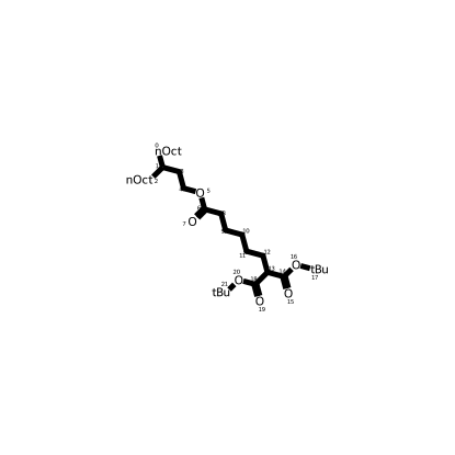 CCCCCCCCC(CCCCCCCC)CCOC(=O)CCCCCC(C(=O)OC(C)(C)C)C(=O)OC(C)(C)C